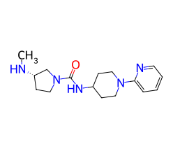 CN[C@H]1CCN(C(=O)NC2CCN(c3ccccn3)CC2)C1